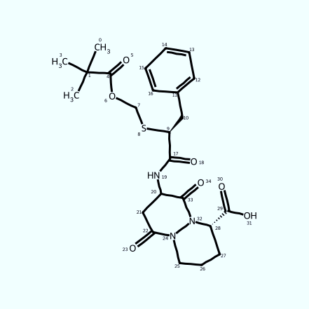 CC(C)(C)C(=O)OCS[C@@H](Cc1ccccc1)C(=O)NC1CC(=O)N2CCC[C@@H](C(=O)O)N2C1=O